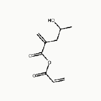 C=CC(=O)OC(=O)C(=C)CC(C)O